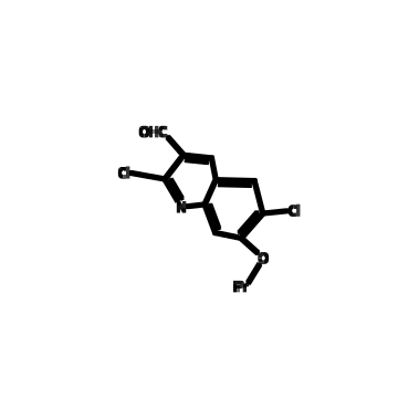 CC(C)Oc1cc2nc(Cl)c(C=O)cc2cc1Cl